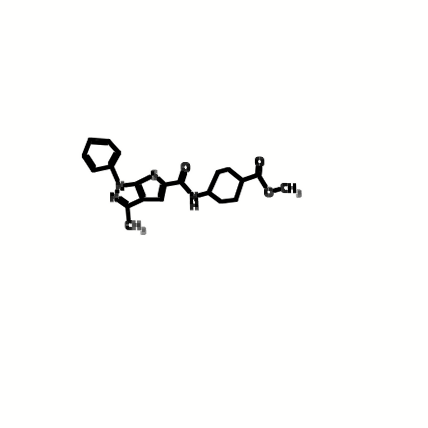 COC(=O)C1CCC(NC(=O)c2cc3c(C)nn(-c4ccccc4)c3s2)CC1